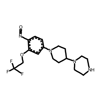 O=Nc1ccc(N2CCC(N3CCNCC3)CC2)cc1OCC(F)(F)F